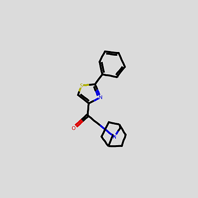 O=C(c1csc(-c2[c]cccc2)n1)N1CC2CCC(CC2)C1